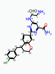 NC[C@@H](C=O)Nc1cc(C(N)=O)nc(-c2ccc3c(c2)OCCC3Cc2ccc(F)cc2)n1